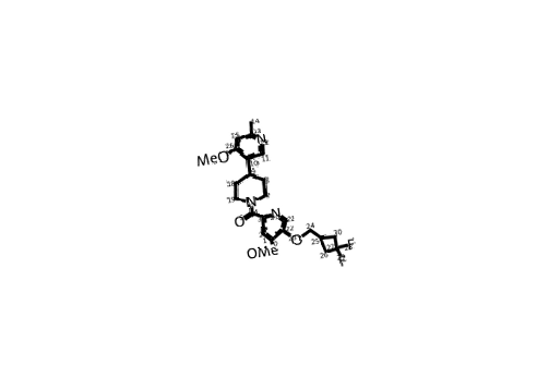 COc1cc(C(=O)N2CCC(c3cnc(C)cc3OC)CC2)ncc1OCC1CC(F)(F)C1